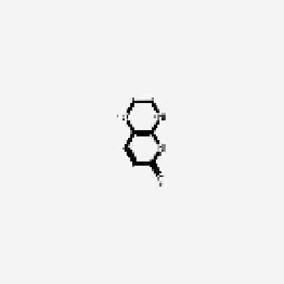 O=c1ccc2c([nH]1)NCCO2